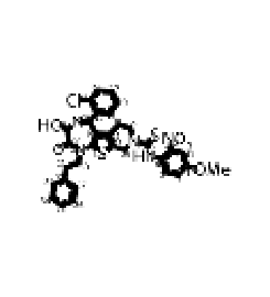 COc1ccc(NC(=S)N2CCc3c(sc4c3C(c3ccccc3Cl)=NC(O)C(=O)N4CCc3ccccc3)C2)c([N+](=O)[O-])c1